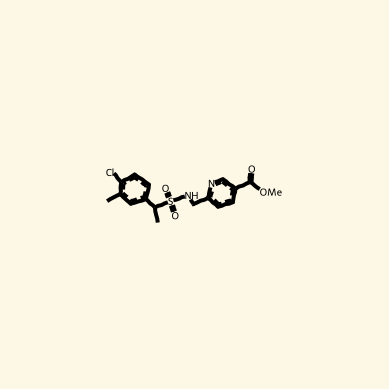 COC(=O)c1ccc(CNS(=O)(=O)C(C)c2ccc(Cl)c(C)c2)nc1